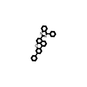 c1ccc(-c2ccc3c(c2)Oc2ccc(-c4nc(-c5ccccc5)c5ccccc5n4)c4cccc-3c24)cc1